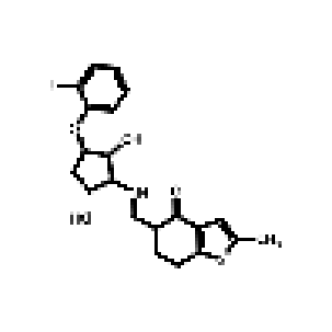 Cc1cc2c(s1)CCC(CNC1CCC(Oc3ccccc3F)C1O)C2=O.Cl